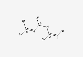 [CH2]C=C(C)CC(C)C=C(C)C